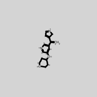 C=C(C1=CC=NC1)c1cncc(OC2CCOCC2)c1